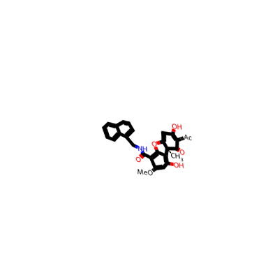 COc1cc(O)c2c(c1C(=O)NCc1cccc3ccccc13)OC1=CC(O)=C(C(C)=O)C(=O)[C@]12C